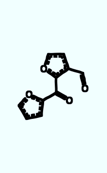 O=Cc1ccoc1C(=O)c1ccco1